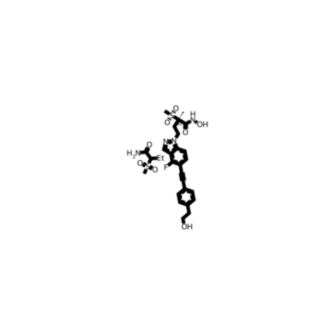 CCC(C(N)=O)S(C)(=O)=O.C[C@@](CCn1ncc2c(F)c(C#Cc3ccc(CCO)cc3)ccc21)(C(=O)NO)S(C)(=O)=O